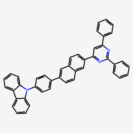 c1ccc(-c2cc(-c3ccc4cc(-c5ccc(-n6c7ccccc7c7ccccc76)cc5)ccc4c3)nc(-c3ccccc3)n2)cc1